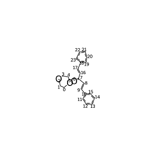 C1COCCO1.O=C(C=Cc1ccccc1)C=Cc1ccccc1